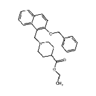 CCOC(=O)C1CCN(Cc2c(OCc3ccccc3)ccc3ccccc23)CC1